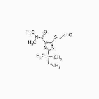 CCC(C)(C)c1nc(SCC=O)n(C(=O)N(C)C)n1